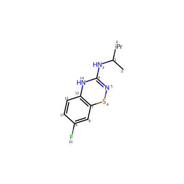 CC(C)C(C)NC1=NSc2cc(F)ccc2N1